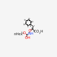 CCCCCCOC(O)NO[C@@H](Cc1ccccc1)C(=O)O